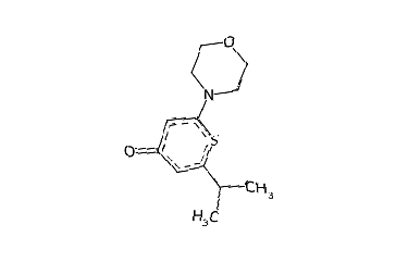 CC(C)c1cc(=O)cc(N2CCOCC2)s1